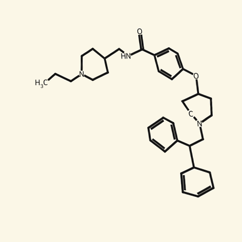 CCCN1CCC(CNC(=O)c2ccc(OC3CCN(CC(c4ccccc4)C4C=CC=CC4)CC3)cc2)CC1